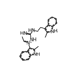 CC=[N+](NC(=N)NCCc1c(C)[nH]c2ccccc12)c1c(C)[nH]c2ccccc12